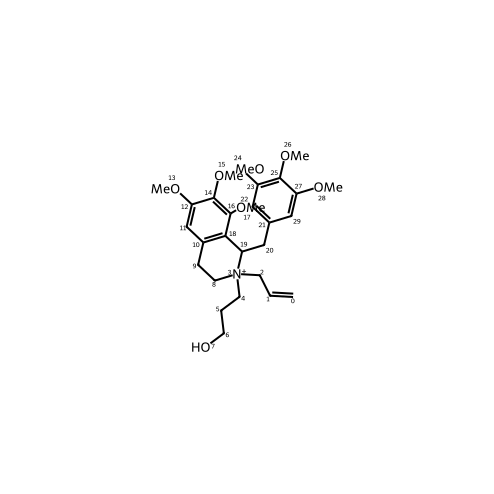 C=CC[N+]1(CCCO)CCc2cc(OC)c(OC)c(OC)c2C1Cc1cc(OC)c(OC)c(OC)c1